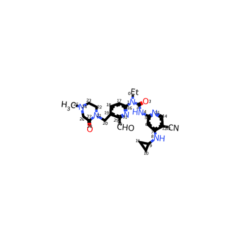 CCN(C(=O)Nc1cc(NC2CC2)c(C#N)cn1)c1ccc(CN2CCN(C)CC2=O)c(C=O)n1